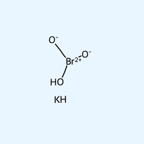 [KH].[O-][Br+2]([O-])O